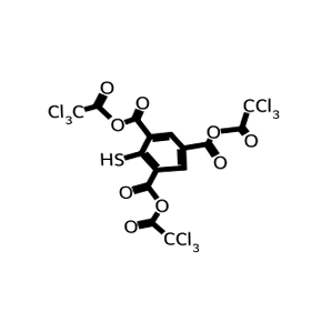 O=C(OC(=O)C(Cl)(Cl)Cl)c1cc(C(=O)OC(=O)C(Cl)(Cl)Cl)c(S)c(C(=O)OC(=O)C(Cl)(Cl)Cl)c1